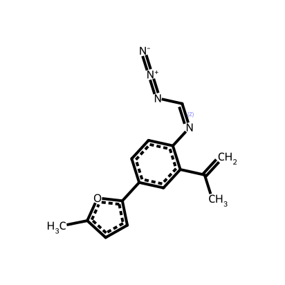 C=C(C)c1cc(-c2ccc(C)o2)ccc1/N=C\N=[N+]=[N-]